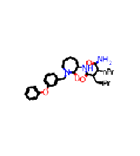 CCC[C@H](C(N)=O)[C@@H](CC(C)C)C(=O)N[C@H]1CCCCN(Cc2cccc(Oc3ccccc3)c2)C1=O